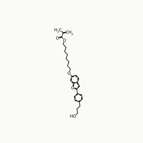 C=C(C)C(=O)OCCCCCCCCOc1ccc2cc(-c3ccc(CCCO)cc3)oc2c1